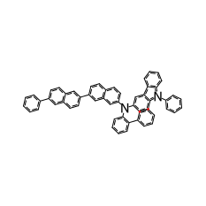 c1ccc(-c2ccc3cc(-c4ccc5ccc(N(c6ccc7c(c6)c6ccccc6n7-c6ccccc6)c6ccccc6-c6ccccc6)cc5c4)ccc3c2)cc1